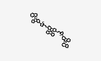 C(=C\c1ccc(-c2ccc3c(c2)c2ccccc2n3-c2cccc3ccccc23)s1)/c1ccc2c(c1)C1(c3ccccc3-c3ccccc31)c1cc(/C=C/c3ccc(-c4ccc5c(c4)c4ccccc4n5-c4cccc5ccccc45)s3)ccc1-2